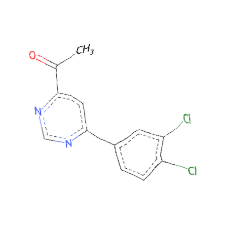 CC(=O)c1cc(-c2ccc(Cl)c(Cl)c2)ncn1